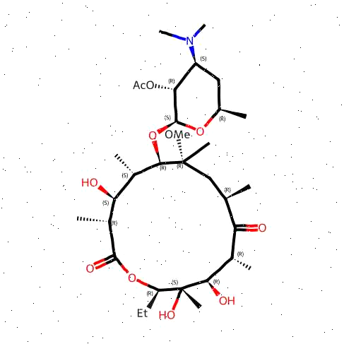 CC[C@H]1OC(=O)[C@H](C)[C@@H](O)[C@H](C)[C@@H](O[C@@H]2O[C@H](C)C[C@H](N(C)C)[C@H]2OC(C)=O)[C@](C)(OC)C[C@@H](C)C(=O)[C@H](C)[C@@H](O)[C@]1(C)O